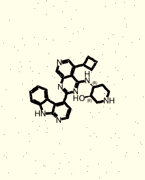 O[C@@H]1CNCC[C@H]1Nc1nc(-c2ccnc3[nH]c4ccccc4c23)nc2cncc(C3CCC3)c12